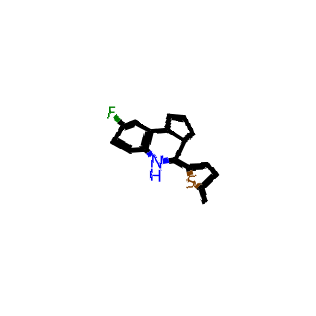 Cc1ccc(C2Nc3ccc(F)cc3C3C=CCC32)s1